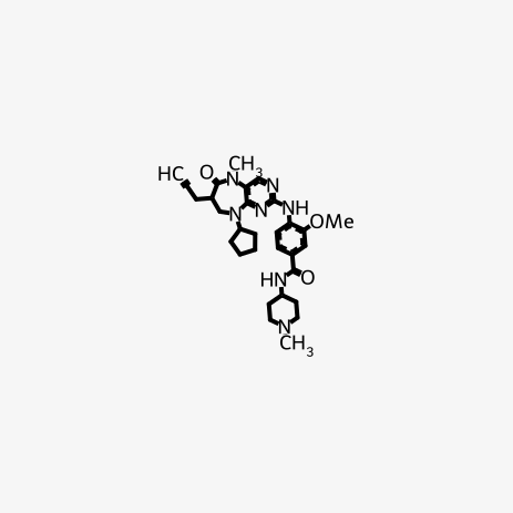 C#CCC1CN(C2CCCC2)c2nc(Nc3ccc(C(=O)NC4CCN(C)CC4)cc3OC)ncc2N(C)C1=O